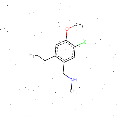 CCc1cc(OC)c(Cl)cc1CNC